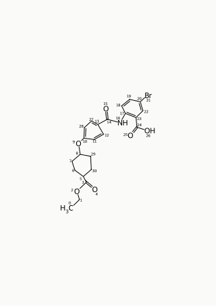 CCOC(=O)C1CCC(Oc2ccc(C(=O)Nc3ccc(Br)cc3C(=O)O)cc2)CC1